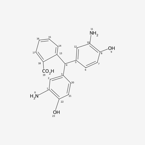 Nc1cc(C(c2ccc(O)c(N)c2)c2ccccc2C(=O)O)ccc1O